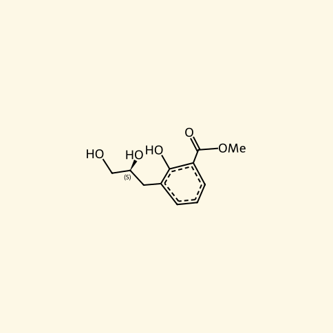 COC(=O)c1cccc(C[C@H](O)CO)c1O